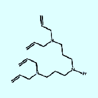 C=CCN(CC=C)CCCN(CCCN(CC=C)CC=C)C(C)C